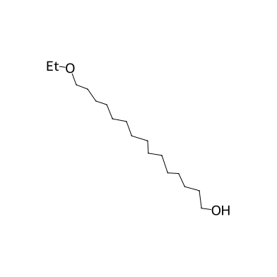 CCOCCCCCCCCCCCCCCCO